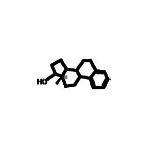 C[C@]12CCC3c4cc[c]cc4CCC3C1CCC2O